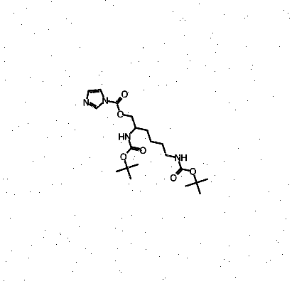 CC(C)(C)OC(=O)NCCCCC(COC(=O)n1ccnc1)NC(=O)OC(C)(C)C